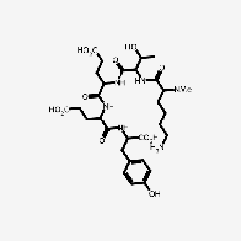 CNC(CCCCN)C(=O)NC(C(=O)NC(CCC(=O)O)C(=O)NC(CCC(=O)O)C(=O)NC(Cc1ccc(O)cc1)C(=O)O)C(C)O